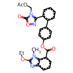 CCOc1nc2cccc(C(=O)Oc3ccc(-c4ccccc4-c4noc(=O)n4COC(C)=O)cc3)c2n1C